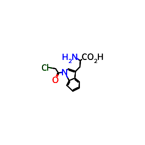 NC(Cc1cn(C(=O)CCl)c2ccccc12)C(=O)O